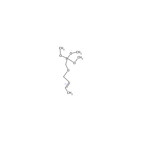 C/C=C/COC[Si](OC)(OC)OC